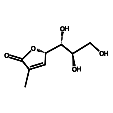 CC1=C[C@@H]([C@H](O)[C@H](O)CO)OC1=O